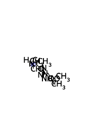 C/N=C(/C)C(=C(C)C)c1cnc2c(c1)nc(N)n2Cc1ccc(C)c(OC)c1